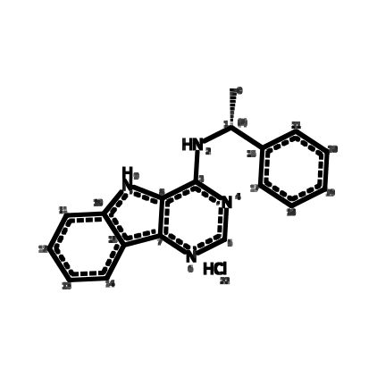 C[C@@H](Nc1ncnc2c1[nH]c1ccccc12)c1ccccc1.Cl